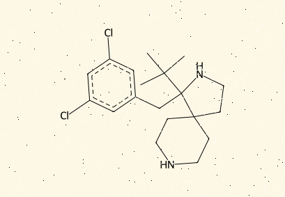 CC(C)(C)C1(Cc2cc(Cl)cc(Cl)c2)NCCC12CCNCC2